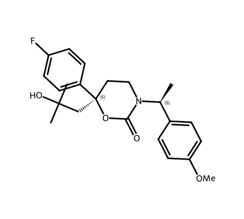 COc1ccc([C@H](C)N2CC[C@](CC(C)(C)O)(c3ccc(F)cc3)OC2=O)cc1